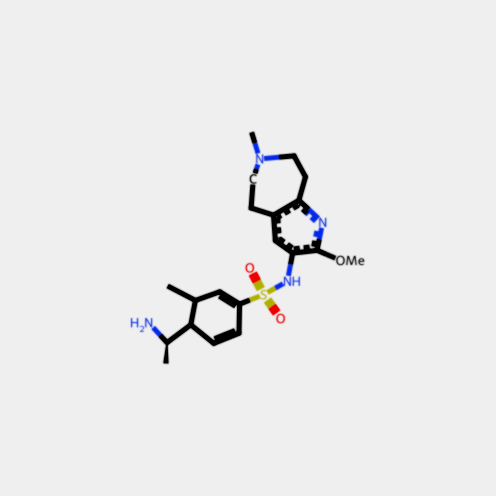 COc1nc2c(cc1NS(=O)(=O)C1=CC(C)C([C@@H](C)N)C=C1)CCN(C)CC2